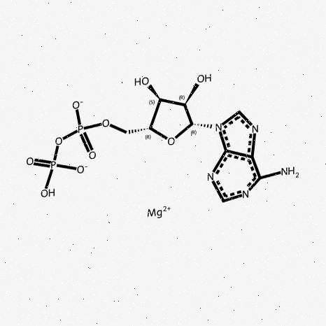 Nc1ncnc2c1ncn2[C@@H]1O[C@H](COP(=O)([O-])OP(=O)([O-])O)[C@@H](O)[C@H]1O.[Mg+2]